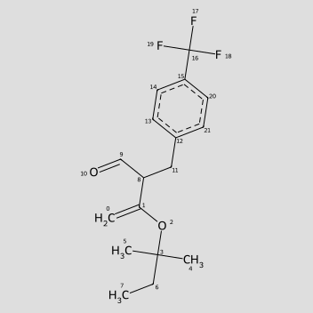 C=C(OC(C)(C)CC)C(C=O)Cc1ccc(C(F)(F)F)cc1